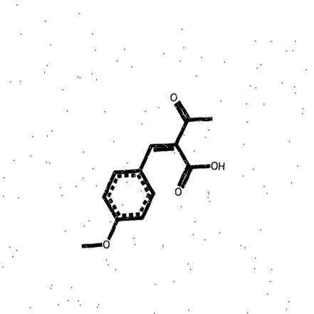 COc1ccc(/C=C(/C(C)=O)C(=O)O)cc1